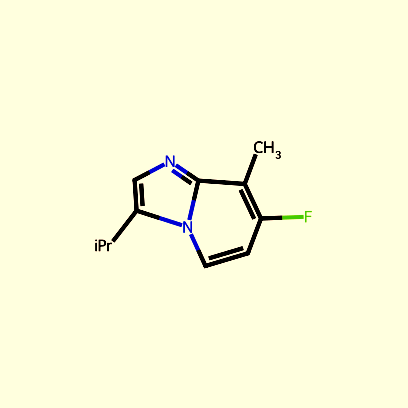 Cc1c(F)ccn2c(C(C)C)cnc12